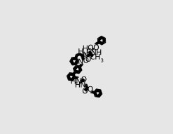 CC(C)(NC(=O)OCc1ccccc1)C(=O)N[C@@H]1CCc2ccccc2N(Cc2ccc(-c3ccccc3CNC(=O)NCC(=O)OCc3ccccc3)cc2)C1=O